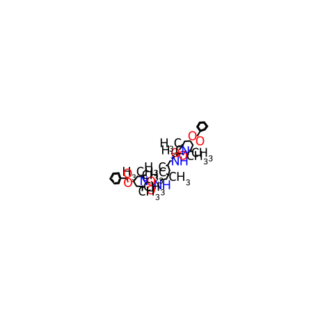 CC(CNC(=O)ON1C(C)(C)CC(OC(=O)c2ccccc2)CC1(C)C)CC(C)(C)CCNC(=O)ON1C(C)(C)CC(OC(=O)c2ccccc2)CC1(C)C